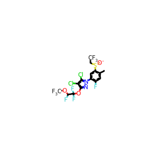 Cc1cc(F)c(-n2nc(OC(F)(F)C(F)OC(F)(F)F)c(Cl)c2Cl)cc1[S+]([O-])CC(F)(F)F